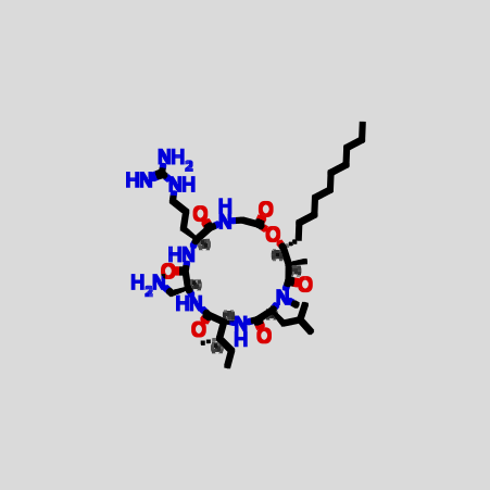 CCCCCCCCCC[C@H]1OC(=O)CNC(=O)[C@H](CCCNC(=N)N)NC(=O)[C@H](CN)NC(=O)[C@H]([C@@H](C)CC)NC(=O)[C@H](CC(C)C)N(C)C(=O)[C@@H]1C